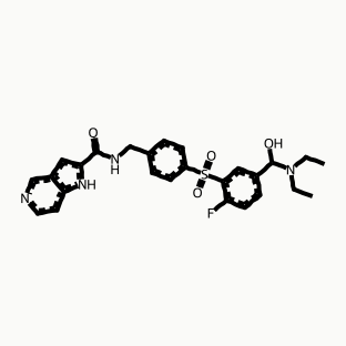 CCN(CC)C(O)c1ccc(F)c(S(=O)(=O)c2ccc(CNC(=O)c3cc4cnccc4[nH]3)cc2)c1